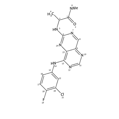 CNC(=O)C(C)Nc1ncc2ncnc(Nc3ccc(F)c(Cl)c3)c2n1